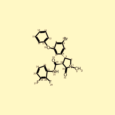 CN1C[C@@H](c2cc(Br)cc(Oc3ccccc3)c2)[C@H](C(=O)Nc2cccc(F)c2F)C1=O